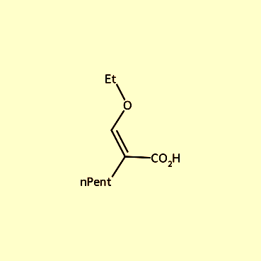 CCCCCC(=COCC)C(=O)O